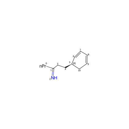 CCCC(=N)CC[C@H]1C=CC=CC1